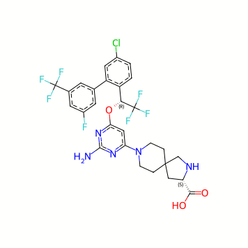 Nc1nc(O[C@H](c2ccc(Cl)cc2-c2cc(F)cc(C(F)(F)F)c2)C(F)(F)F)cc(N2CCC3(CC2)CN[C@H](C(=O)O)C3)n1